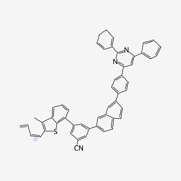 C=C/C=C\c1sc2c(-c3cc(C#N)cc(-c4ccc5ccc(-c6ccc(-c7cc(-c8ccccc8)nc(C8=CCCC=C8)n7)cc6)cc5c4)c3)cccc2c1C